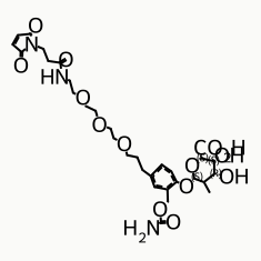 CC1[C@H](Oc2ccc(CCCOCCOCCOCCNC(=O)CCN3C(=O)C=CC3=O)cc2COC(N)=O)O[C@H](C(=O)O)[C@@H](O)[C@@H]1O